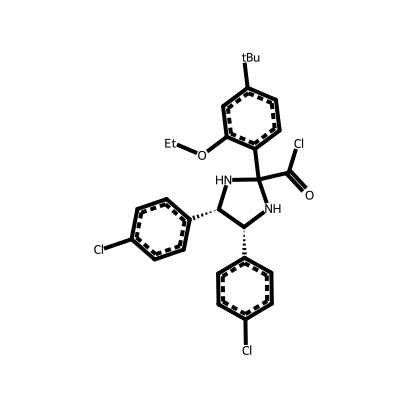 CCOc1cc(C(C)(C)C)ccc1C1(C(=O)Cl)N[C@H](c2ccc(Cl)cc2)[C@H](c2ccc(Cl)cc2)N1